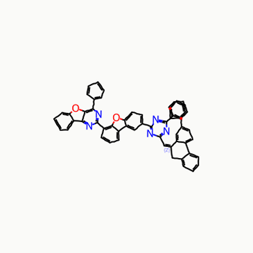 C(=C1\Cc2ccccc2-c2ccc(-c3ccccc3)cc21)/c1nc(-c2ccccc2)nc(-c2ccc3oc4c(-c5nc(-c6ccccc6)c6oc7ccccc7c6n5)cccc4c3c2)n1